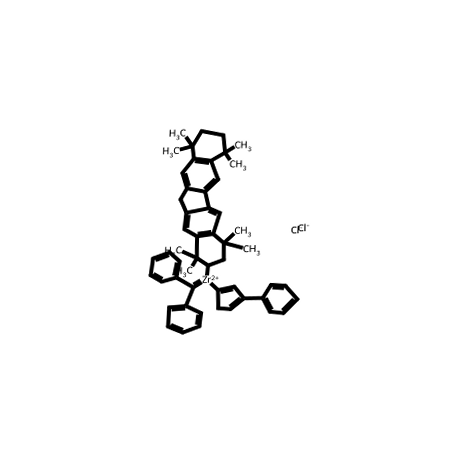 CC1(C)CCC(C)(C)c2cc3c(cc21)Cc1cc2c(cc1-3)C(C)(C)C[CH]([Zr+2]([C]1=CC(c3ccccc3)=CC1)=[C](c1ccccc1)c1ccccc1)C2(C)C.[Cl-].[Cl-]